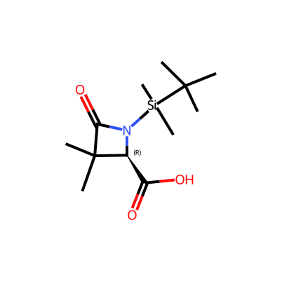 CC1(C)C(=O)N([Si](C)(C)C(C)(C)C)[C@H]1C(=O)O